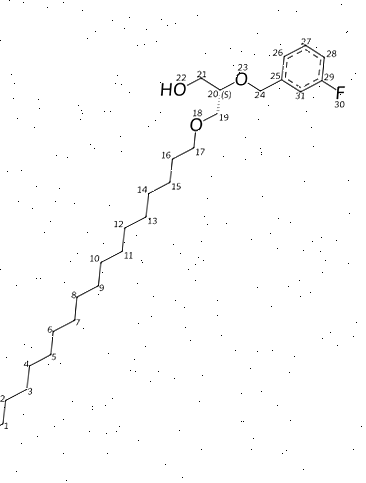 CCCCCCCCCCCCCCCCCCOC[C@H](CO)OCc1cccc(F)c1